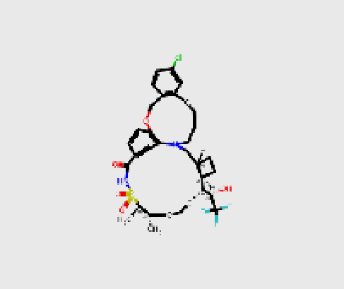 C[C@@H]1[C@@H](C)CCC[C@@H]([C@H](O)C(F)(F)F)[C@@H]2CC[C@H]2CN2CCCCc3cc(Cl)ccc3COc3ccc(cc32)C(=O)NS1(=O)=O